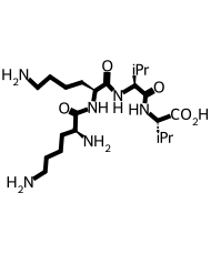 CC(C)[C@H](NC(=O)[C@@H](NC(=O)[C@H](CCCCN)NC(=O)[C@@H](N)CCCCN)C(C)C)C(=O)O